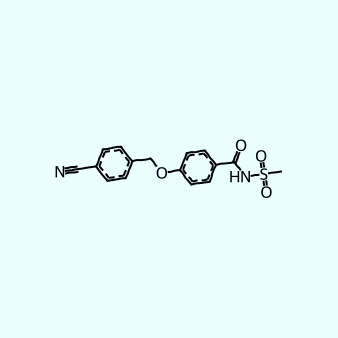 CS(=O)(=O)NC(=O)c1ccc(OCc2ccc(C#N)cc2)cc1